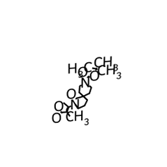 CC1=C(N2CCCC3(CCN(C(=O)OC(C)(C)C)CC3)C2=O)COC1=O